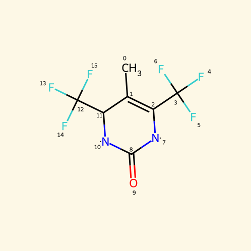 CC1=C(C(F)(F)F)[N]C(=O)[N]C1C(F)(F)F